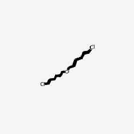 ClC=CCC=CCOCC=CCC=CCl